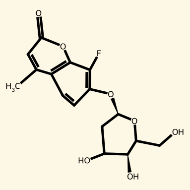 Cc1cc(=O)oc2c(F)c(O[C@@H]3CC(O)[C@H](O)C(CO)O3)ccc12